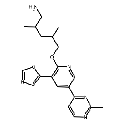 Cc1nccc(-c2cnc(OCC(C)CC(C)CN)c(-c3cnco3)c2)n1